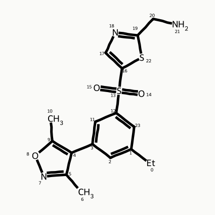 CCc1cc(-c2c(C)noc2C)cc(S(=O)(=O)c2cnc(CN)s2)c1